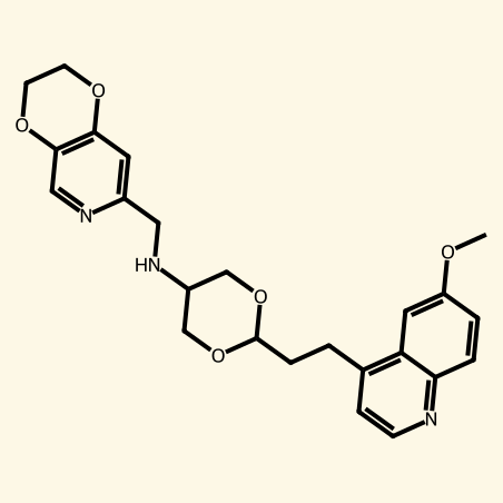 COc1ccc2nccc(CCC3OCC(NCc4cc5c(cn4)OCCO5)CO3)c2c1